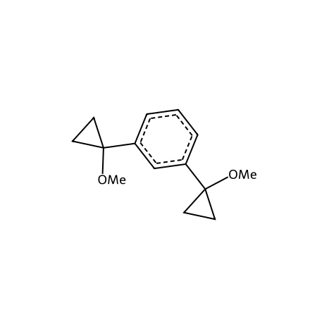 COC1(c2cccc(C3(OC)CC3)c2)CC1